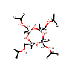 CC(C)OC[Si]1(C)O[Si](C)(COC(C)C)O[Si](C)(COC(C)C)O[Si](C)(COC(C)C)O1